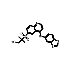 CC(C)(CO)S(=O)(=O)c1ccc2nccc(Nc3ccc4scnc4c3)c2c1